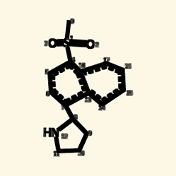 CS(=O)(=O)c1ccc(C2CCCN2)c2ccccc12